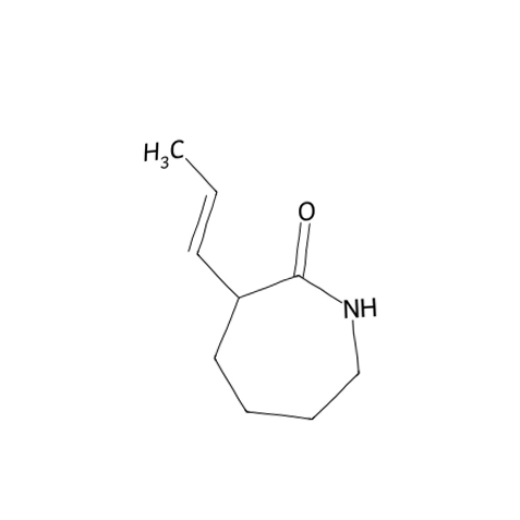 CC=CC1CCCCNC1=O